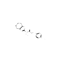 COc1ccc(OCC(=O)N(C)c2nc3c(s2)CCCC3)cc1